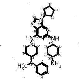 CC(c1ccccc1)C1CCN(Nc2nc(N[C@H]3CC[C@H](N)CC3)nc3c2ncn3C2CCCC2)CC1